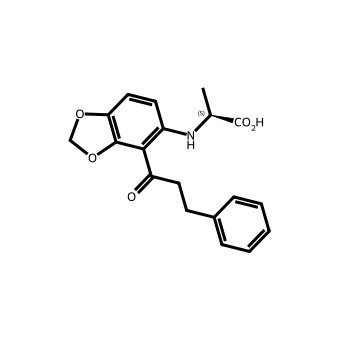 C[C@H](Nc1ccc2c(c1C(=O)CCc1ccccc1)OCO2)C(=O)O